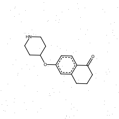 O=C1CCCc2cc(OC3CCNCC3)ccc21